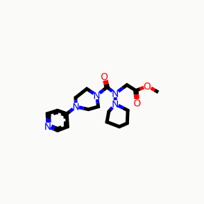 COC(=O)CN(C(=O)N1CCN(c2ccncc2)CC1)N1CCCCC1